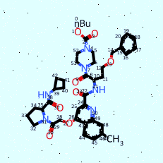 CCCCOC(=O)N1CCN(C(=O)C(CCOCc2ccccc2)NC(=O)c2cc(OCC(=O)N3CCCC3C(=O)NC3CCC3)c3ccc(C)cc3n2)CC1